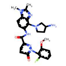 COc1cccc(F)c1-n1nc(C(=O)Nc2ccc3c(nc(C)n3C)c2N2CCC(N)C2)ccc1=O